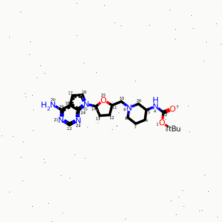 CC(C)(C)OC(=O)NC1CCCN(CC2CCC(n3ccc4c(N)ncnc43)O2)C1